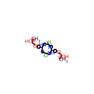 COC(O)CCOc1ccc(-c2c3nc(c(Cl)c4ccc([nH]4)c(-c4ccc(OCCC(O)OC)cc4)c4nc(c(Cl)c5ccc2[nH]5)C=C4)C=C3)cc1